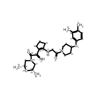 Cc1ccc(OC2CCN(C(=O)CNC3=C(C(=N)C(=O)N4C[C@@H](C)O[C@@H](C)C4)CCC3)CC2)cc1C